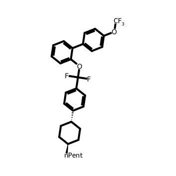 CCCCC[C@H]1CC[C@H](c2ccc(C(F)(F)Oc3ccccc3-c3ccc(OC(F)(F)F)cc3)cc2)CC1